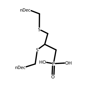 CCCCCCCCCCCSCC(CP(=O)(O)O)SCCCCCCCCCCC